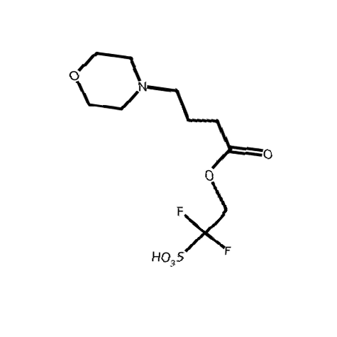 O=C(CCCN1CCOCC1)OCC(F)(F)S(=O)(=O)O